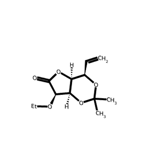 C=C[C@H]1OC(C)(C)O[C@@H]2[C@H]1OC(=O)[C@@H]2OCC